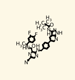 C[C@H](NC(=O)c1nc(C#N)cnc1NCc1ccc(-c2cnc3[nH]nc(NC(=O)C(C)(C)C)c3c2)cc1)c1ccc(F)c(F)c1